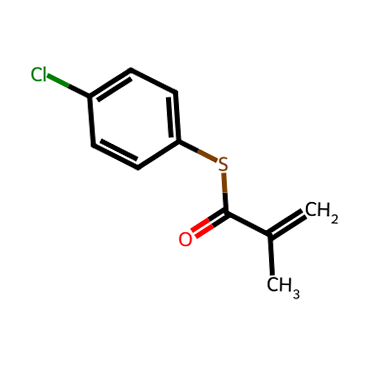 C=C(C)C(=O)Sc1ccc(Cl)cc1